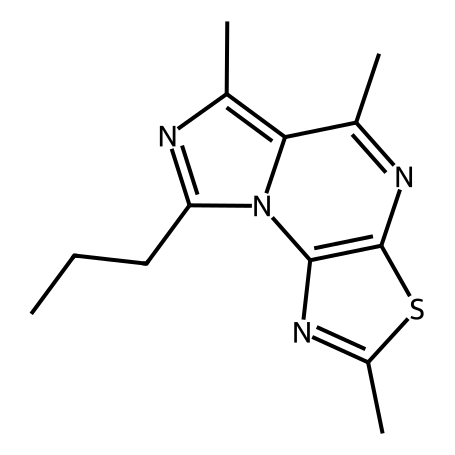 CCCc1nc(C)c2c(C)nc3sc(C)nc3n12